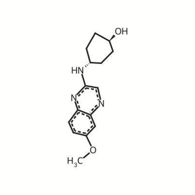 COc1ccc2nc(N[C@H]3CC[C@H](O)CC3)cnc2c1